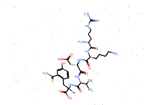 [2H][C@@](Cc1ccc(O)cc1C(N)=S)(NC(=O)[C@@H](NC(=O)[C@H](CC(=O)O)NC(=O)[C@H](CCCCN)NC(=O)[C@@H](N)CCCNC(=N)N)C(C)C)C(=O)O